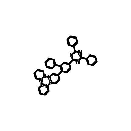 C1=CB2N3C=CC=CB3N3C=C(c4ccc(-c5nc(-c6ccccc6)nc(-c6ccccc6)n5)cc4-c4ccccc4)C=CB3N2C=C1